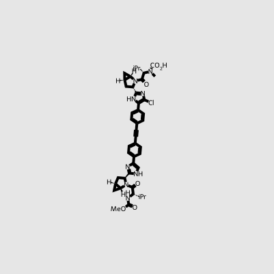 COC(=O)N[C@H](C(=O)N1[C@@H]2C[C@H]2C[C@H]1c1nc(-c2ccc(C#Cc3ccc(-c4[nH]c([C@@H]5C[C@H]6C[C@H]6N5C(=O)[C@H](C(C)C)N(C)C(=O)O)nc4Cl)cc3)cc2)c[nH]1)C(C)C